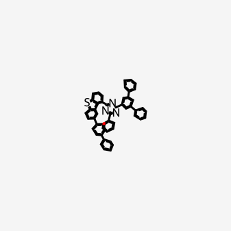 c1ccc(-c2ccc(-c3ccc4sc5cccc(-c6nc(-c7ccccc7)nc(-c7cc(-c8ccccc8)cc(-c8ccccc8)c7)n6)c5c4c3)cc2)cc1